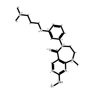 CCNc1ncc2c(n1)N(C)CCN(c1cccc(OCCCN(C)C)c1)C2=O